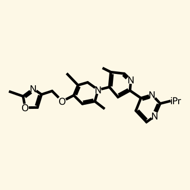 CC1=CC(OCc2coc(C)n2)=C(C)CN1c1cc(-c2ccnc(C(C)C)n2)ncc1C